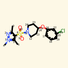 Cc1nn(C)c(C)c1S(=O)(=O)N1CCC(Oc2cccc(Cl)c2)CC1